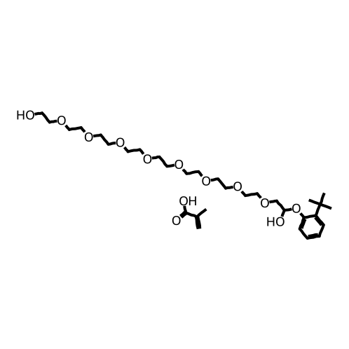 C=C(C)C(=O)O.CC(C)(C)c1ccccc1OC(O)COCCOCCOCCOCCOCCOCCOCCOCCO